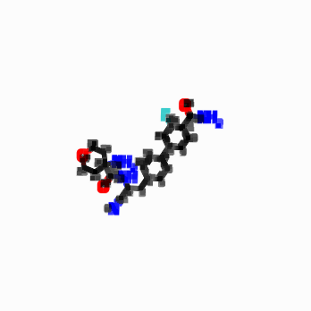 N#CC(Cc1ccc(-c2ccc(C(N)=O)c(F)c2)cc1)NC(=O)C1(N)CCOCC1